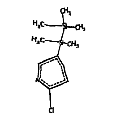 C[Si](C)(C)[Si](C)(C)c1ccc(Cl)nc1